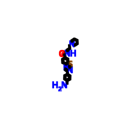 NCc1ccc(-c2cn3c(n2)sc2cc(C(=O)NCCCN4CCCCC4)ccc23)cc1